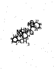 Cc1ccccc1-n1ncc2c1CCCC2NC(=O)c1noc2c1CCCC2